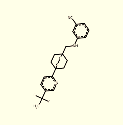 CC(F)(F)c1ccc(C23CCC(CNc4cccc(C#N)c4)(CC2)CC3)nc1